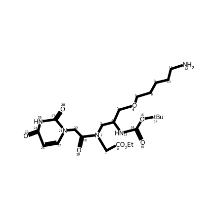 CCOC(=O)CN(CC(COCCCCCN)NC(=O)OC(C)(C)C)C(=O)Cn1ccc(=O)[nH]c1=O